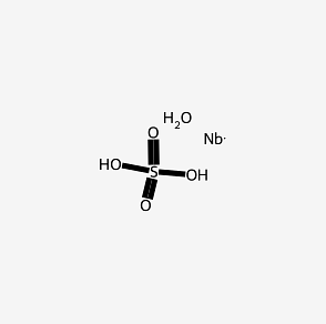 O.O=S(=O)(O)O.[Nb]